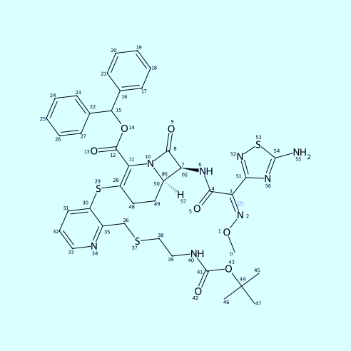 CO/N=C(\C(=O)N[C@@H]1C(=O)N2C(C(=O)OC(c3ccccc3)c3ccccc3)=C(Sc3cccnc3CSCCNC(=O)OC(C)(C)C)CC[C@H]12)c1nsc(N)n1